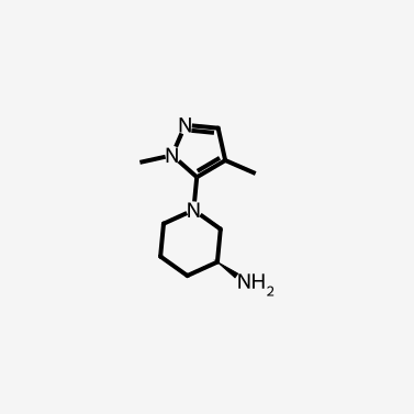 Cc1cnn(C)c1N1CCC[C@H](N)C1